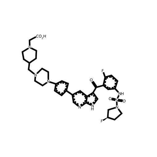 O=C(O)CN1CCC(CN2CCN(c3ccc(-c4cnc5[nH]cc(C(=O)c6cc(NS(=O)(=O)N7CC[C@@H](F)C7)ccc6F)c5c4)cc3)CC2)CC1